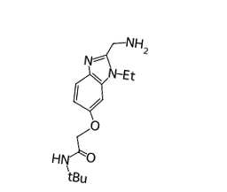 CCn1c(CN)nc2ccc(OCC(=O)NC(C)(C)C)cc21